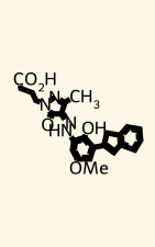 COc1cc(N/N=C2\C(=O)N(CCCC(=O)O)N=C2C)c(O)c(C2=Cc3ccccc3C2)c1